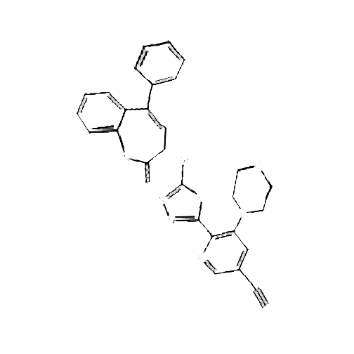 C#Cc1cnc(-c2nnc(N[C@H]3C=C(c4ccccc4)c4ccccc4NC3=O)o2)c(N2CCOCC2)c1